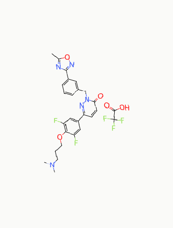 Cc1nc(-c2cccc(Cn3nc(-c4cc(F)c(OCCCN(C)C)c(F)c4)ccc3=O)c2)no1.O=C(O)C(F)(F)F